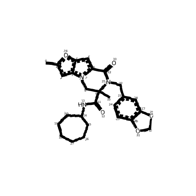 Cc1cc2c(cc3n2CC(C)(C(=O)NC2CCCCCC2)N(Cc2ccc4c(c2)OCO4)C3=O)o1